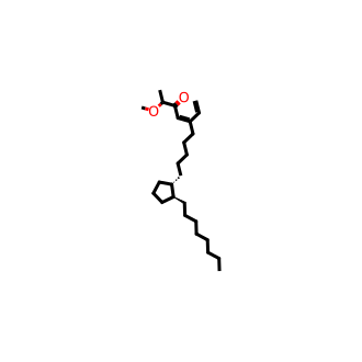 C=CC(=CC(=O)C(C)OC)CCCCC[C@H]1CCC[C@@H]1CCCCCCCC